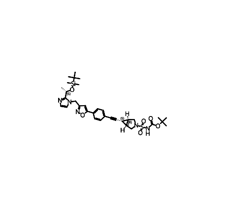 C[C@H](O[Si](C)(C)C(C)(C)C)c1nccn1Cc1cc(-c2ccc(C#C[C@@H]3[C@H]4CN(S(=O)(=O)NC(=O)OC(C)(C)C)C[C@@H]34)cc2)on1